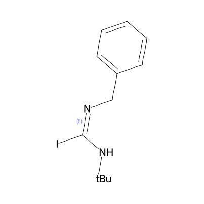 CC(C)(C)N/C(I)=N\Cc1ccccc1